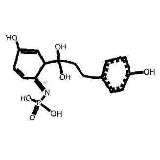 O=P(O)(O)/N=C1\C=CC(O)=CC1C(O)(O)CCc1ccc(O)cc1